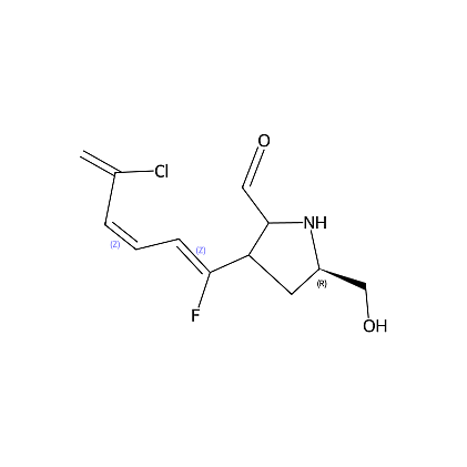 C=C(Cl)/C=C\C=C(/F)C1C[C@H](CO)NC1C=O